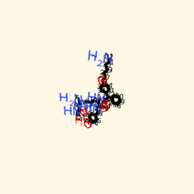 CCNC(=O)/N=C(/N)NCCC[C@@H](NC(=O)C(c1ccccc1)c1ccc(OCCCCCN)cc1)C(=O)NCc1ccc(O)cc1